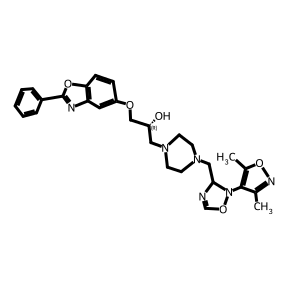 Cc1noc(C)c1N1OC=NC1CN1CCN(C[C@@H](O)COc2ccc3oc(-c4ccccc4)nc3c2)CC1